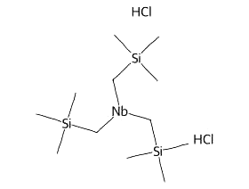 C[Si](C)(C)[CH2][Nb]([CH2][Si](C)(C)C)[CH2][Si](C)(C)C.Cl.Cl